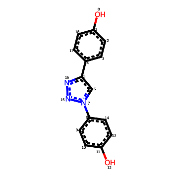 Oc1ccc(-c2cn(-c3ccc(O)cc3)nn2)cc1